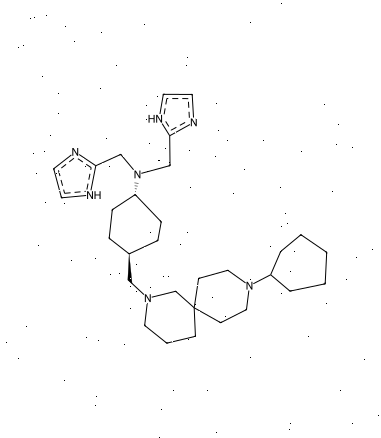 c1c[nH]c(CN(Cc2ncc[nH]2)[C@H]2CC[C@H](CN3CCCC4(CCN(C5CCCCC5)CC4)C3)CC2)n1